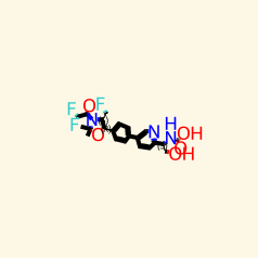 CC1(C)O[C@H](c2ccc(-c3ccc([C@@H](CO)NC(=O)O)nc3)cc2)[C@@H](CF)N1C(=O)C(F)F